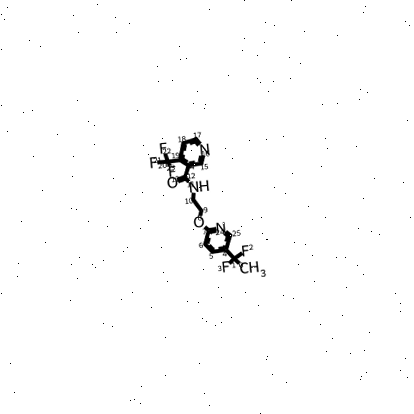 CC(F)(F)c1ccc(OCCNC(=O)c2cnccc2C(F)(F)F)nc1